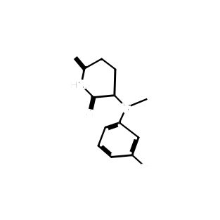 CN(c1cccc(Br)c1)C1CCC(=O)NC1=O